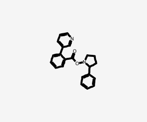 O=C(ON1CCCC1c1ccccc1)c1ccccc1-c1cccnc1